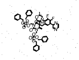 C=C1N(COP(=O)(OCc2ccccc2)OCc2ccccc2)C(=O)N(COP(=O)(OCc2ccccc2)OCc2ccccc2)C(=O)C12Cc1cc(-c3cnccn3)c(F)c(F)c1N1C[C@H](C)OC[C@H]12